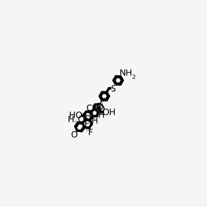 C[C@]12C=CC(=O)C=C1[C@@H](F)C[C@H]1[C@@H]3C[C@H]4O[C@H](c5ccc(CSc6ccc(N)cc6)cc5)C[C@@]4(C(=O)CO)[C@@]3(C)C[C@H](O)[C@@]12F